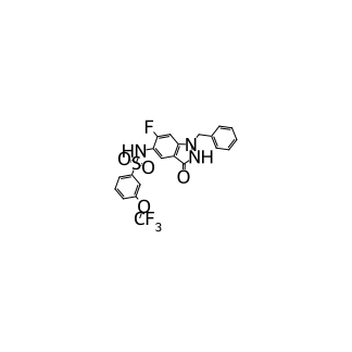 O=c1[nH]n(Cc2ccccc2)c2cc(F)c(NS(=O)(=O)c3cccc(OC(F)(F)F)c3)cc12